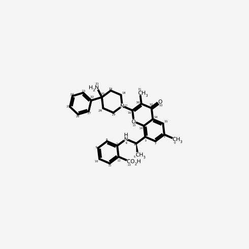 Cc1cc([C@@H](C)Nc2ccccc2C(=O)O)c2oc(N3CCC(N)(c4ccccc4)CC3)c(C)c(=O)c2c1